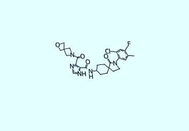 Cc1cc(N2CCC3(CCC(NC(=O)c4[nH]cnc4C(=O)N4CC5(COC5)C4)CC3)C2=O)c(Cl)cc1F